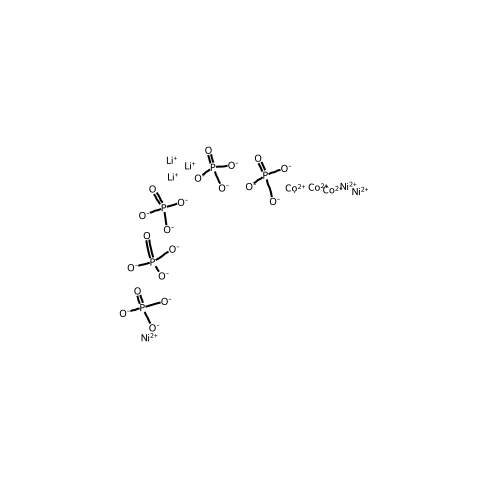 O=P([O-])([O-])[O-].O=P([O-])([O-])[O-].O=P([O-])([O-])[O-].O=P([O-])([O-])[O-].O=P([O-])([O-])[O-].[Co+2].[Co+2].[Co+2].[Li+].[Li+].[Li+].[Ni+2].[Ni+2].[Ni+2]